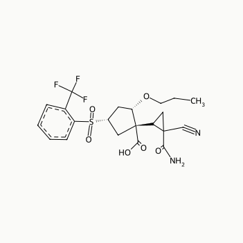 CCCO[C@H]1C[C@@H](S(=O)(=O)c2ccccc2C(F)(F)F)C[C@]1(C(=O)O)C1CC1(C#N)C(N)=O